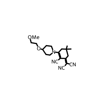 COCCOC1CCN(C2=C(C#N)C(=C(C#N)C#N)CC(C)(C)C2)CC1